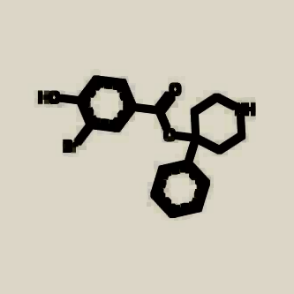 O=C(OC1(c2ccccc2)CCNCC1)c1ccc(O)c(Br)c1